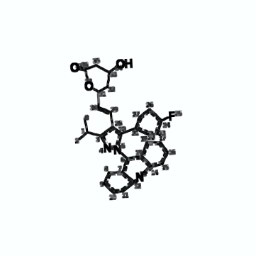 CC(C)c1nn(-c2c3ccccc3nc3ccccc23)c(-c2ccc(F)cc2)c1/C=C/C1CC(O)CC(=O)O1